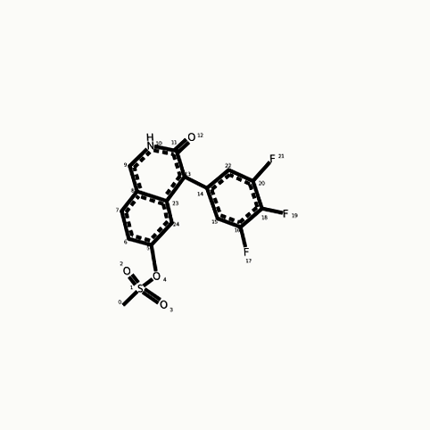 CS(=O)(=O)Oc1ccc2c[nH]c(=O)c(-c3cc(F)c(F)c(F)c3)c2c1